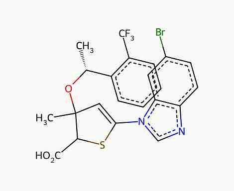 C[C@@H](OC1(C)C=C(n2cnc3ccc(Br)cc32)SC1C(=O)O)c1ccccc1C(F)(F)F